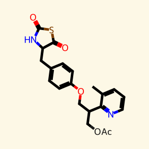 CC(=O)OCC(COc1ccc(CC2NC(=O)SC2=O)cc1)c1ncccc1C